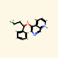 ClCCC(Oc1cncc2ncccc12)c1ccccc1